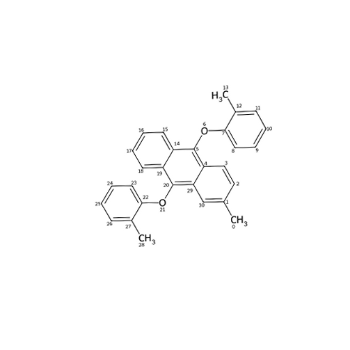 Cc1ccc2c(Oc3ccccc3C)c3ccccc3c(Oc3ccccc3C)c2c1